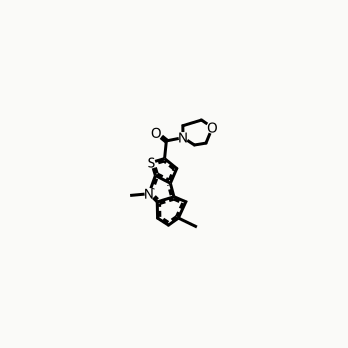 Cc1ccc2c(c1)c1cc(C(=O)N3CCOCC3)sc1n2C